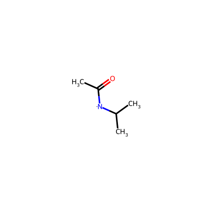 CC(=O)[N]C(C)C